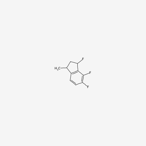 CC1CC(F)c2c1ccc(F)c2F